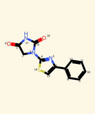 O=C1CN(c2nc(-c3ccccc3)cs2)C(=O)N1